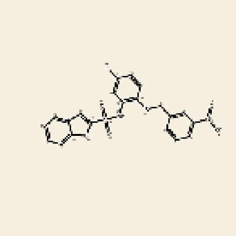 O=[N+]([O-])c1cccc(CSc2ccc(F)cc2NS(=O)(=O)c2cc3ccccc3o2)c1